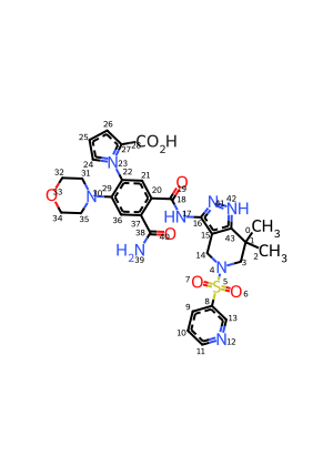 CC1(C)CN(S(=O)(=O)c2cccnc2)Cc2c(NC(=O)c3cc(-n4cccc4C(=O)O)c(N4CCOCC4)cc3C(N)=O)n[nH]c21